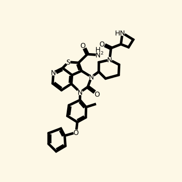 Cc1cc(Oc2ccccc2)ccc1N1C(=O)N(C2CCCN(C(=O)C3CCN3)C2)c2c(C(N)=O)sc3nccc1c23